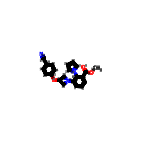 COC(=O)c1cccc(N2CC(Oc3ccc(C#N)cc3)C2)c1-n1cccc1